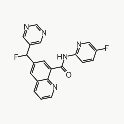 O=C(Nc1ccc(F)cn1)c1cc(C(F)c2cncnc2)cc2cccnc12